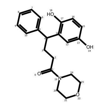 O=C(CCC(c1ccccc1)c1cc(O)ccc1O)N1CCOCC1